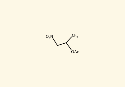 CC(=O)OC(C[N+](=O)[O-])C(F)(F)F